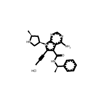 CC#Cc1c(C(=O)N[C@H](C)c2ccccc2)c2c(N)ncnc2n1[C@H]1CN[C@@H](C)C1.Cl